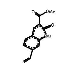 C=Cc1ccc2cc(C(=O)OC)c(=O)[nH]c2c1